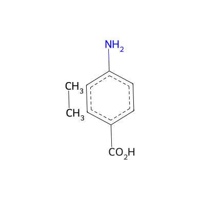 CC.Nc1ccc(C(=O)O)cc1